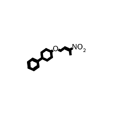 CC(=CCOC1CCC(c2ccccc2)CC1)[N+](=O)[O-]